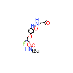 CC(C)(C)NC(=O)OC/C(=C\F)COc1ccc2nc(NCCC3COC3)oc2c1